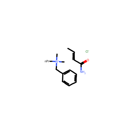 CC=CC(N)=O.CCC[N+](C)(C)Cc1ccccc1.[Cl-]